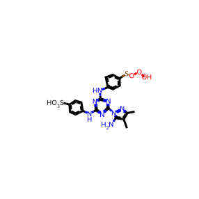 Cc1nn(-c2nc(Nc3ccc(SOOO)cc3)nc(Nc3ccc(S(=O)(=O)O)cc3)n2)c(N)c1C